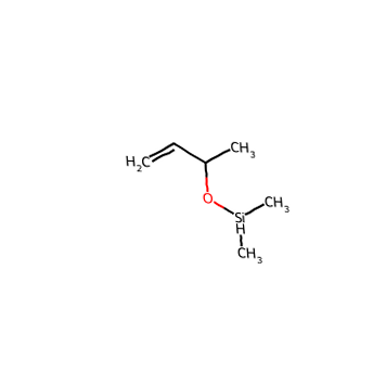 C=CC(C)O[SiH](C)C